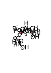 CC(C)(CC(=O)N[C@@H]1CCc2cc(C(F)(F)F)ccc2N(Cc2ccc(-c3ccccc3CNC(=O)NCCO)cc2)C1=O)NC[C@H](O)CO